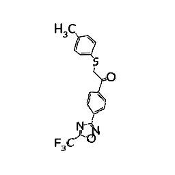 Cc1ccc(SCC(=O)c2ccc(-c3noc(C(F)(F)F)n3)cc2)cc1